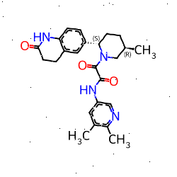 Cc1cc(NC(=O)C(=O)N2C[C@H](C)CC[C@H]2c2ccc3c(c2)CCC(=O)N3)cnc1C